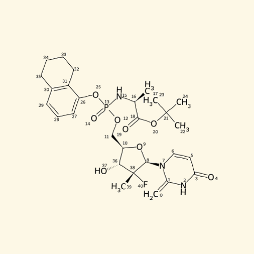 C=C1NC(=O)C=CN1[C@@H]1O[C@H](COP(=O)(N[C@@H](C)C(=O)OC(C)(C)C)Oc2cccc3c2CCCC3)[C@@H](O)[C@@]1(C)F